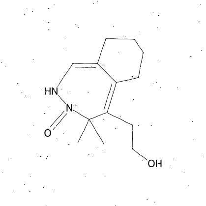 CC1(C)C(CCO)=C2CCCCC2=CN[N+]1=O